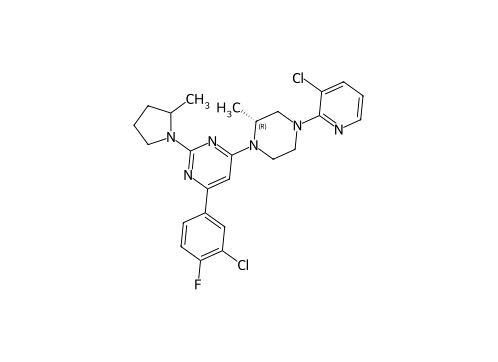 CC1CCCN1c1nc(-c2ccc(F)c(Cl)c2)cc(N2CCN(c3ncccc3Cl)C[C@H]2C)n1